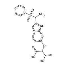 NC(c1cc2ccc(OC(C(=O)O)C(=O)O)cc2[nH]1)S(=O)(=O)c1ccccc1